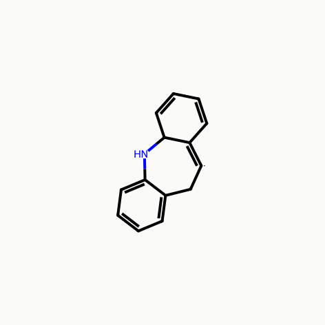 [C]1=C2C=CC=CC2Nc2ccccc2C1